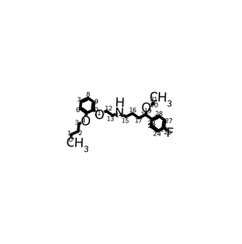 CCCCOc1ccccc1OCCNCCCC(OCC)c1ccc(F)cc1